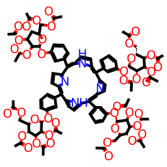 CC(=O)OCC1O[C@@H](Oc2cccc(-c3c4nc(c(-c5cccc(O[C@@H]6OC(COC(C)=O)[C@@H](OC(C)=O)C(OC(C)=O)C6OC(C)=O)c5)c5ccc([nH]5)c(-c5cccc(O[C@@H]6OC(COC(C)=O)[C@@H](OC(C)=O)C(OC(C)=O)C6OC(C)=O)c5)c5nc(c(-c6cccc(OC7O[C@H](COC(C)=O)C(OC(C)=O)C(OC(C)=O)[C@H]7OC(C)=O)c6)c6ccc3[nH]6)C=C5)C=C4)c2)C(OC(C)=O)C(OC(C)=O)[C@@H]1OC(C)=O